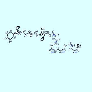 CC/C=C\C/C=C\C/C=C\C/C=C\C/C=C\C/C=C\CCC(=O)NCCSSCCNC(=O)c1ccccc1